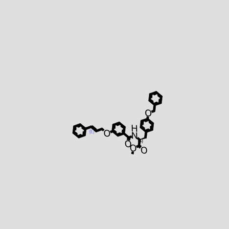 COC(=O)[C@H](Cc1ccc(OCc2ccccc2)cc1)NC(=O)c1cccc(OC/C=C/c2ccccc2)c1